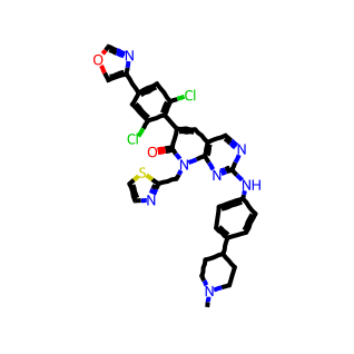 CN1CCC(c2ccc(Nc3ncc4cc(-c5c(Cl)cc(-c6cocn6)cc5Cl)c(=O)n(Cc5nccs5)c4n3)cc2)CC1